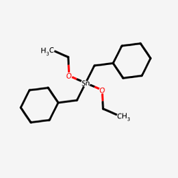 CC[O][Sn]([CH2]C1CCCCC1)([CH2]C1CCCCC1)[O]CC